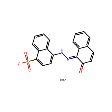 O=C1C=Cc2ccccc2/C1=N\Nc1ccc(S(=O)(=O)[O-])c2ccccc12.[Na+]